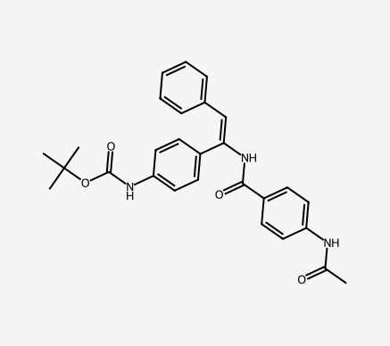 CC(=O)Nc1ccc(C(=O)NC(=Cc2ccccc2)c2ccc(NC(=O)OC(C)(C)C)cc2)cc1